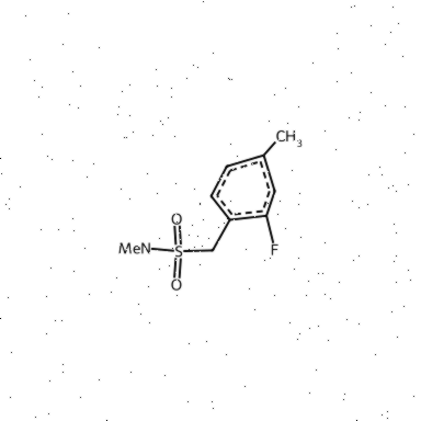 CNS(=O)(=O)Cc1ccc(C)cc1F